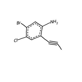 CC#Cc1cc(Cl)c(Br)cc1N